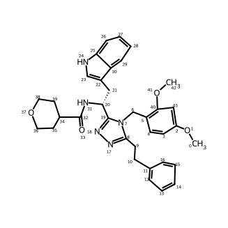 COc1ccc(Cn2c(CCc3ccccc3)nnc2[C@@H](Cc2c[nH]c3ccccc23)NC(=O)C2CCOCC2)c(OC)c1